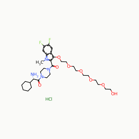 Cl.Cn1c(C(=O)N2CCN(C(=O)[C@@H](N)C3CCCCC3)CC2)c(OCCOCCOCCOCCOCCO)c2cc(F)c(F)cc21